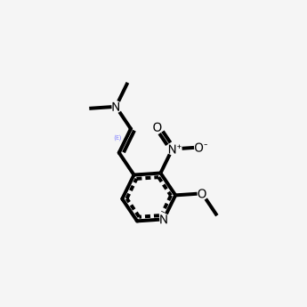 COc1nccc(/C=C/N(C)C)c1[N+](=O)[O-]